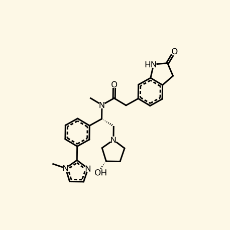 CN(C(=O)Cc1ccc2c(c1)NC(=O)C2)[C@H](CN1CC[C@H](O)C1)c1cccc(-c2nccn2C)c1